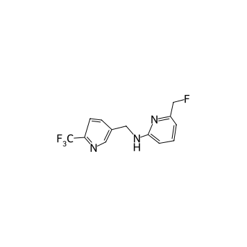 FCc1cccc(NCc2ccc(C(F)(F)F)nc2)n1